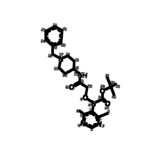 Cc1ncnc(C)c1N(OCC(=O)NC1CCN(Cc2ccccc2)CC1)C(=O)OC(C)(C)C